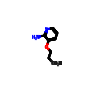 Nc1ncccc1OCCC(=O)O